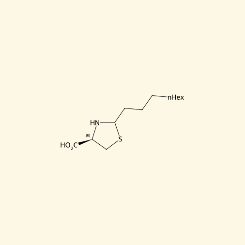 CCCCCCCCCC1N[C@H](C(=O)O)CS1